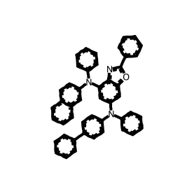 c1ccc(-c2ccc(N(c3ccccc3)c3cc(N(c4ccccc4)c4ccc5ccccc5c4)c4nc(-c5ccccc5)oc4c3)cc2)cc1